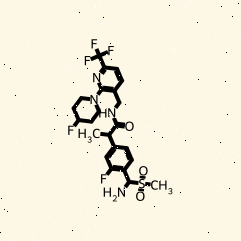 CC(C(=O)NCc1ccc(C(F)(F)F)nc1N1CCC(F)CC1)c1ccc(C(N)S(C)(=O)=O)c(F)c1